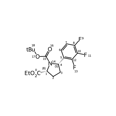 CCOC(=O)[C@H]1CC[C@@H](c2ccc(F)c(F)c2F)N1C(=O)OC(C)(C)C